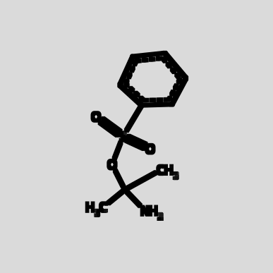 CC(C)(N)OS(=O)(=O)c1ccccc1